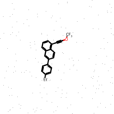 CCc1ccc(-c2ccc3c(C#COC(F)(F)F)cccc3c2)cc1